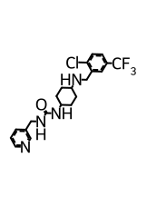 O=C(NCc1cccnc1)NC1CCC(NCc2cc(C(F)(F)F)ccc2Cl)CC1